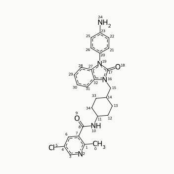 Cc1ncc(Cl)cc1C(=O)NC1CCC(Cn2c(=O)n(-c3ccc(N)cc3)c3ccccc32)CC1